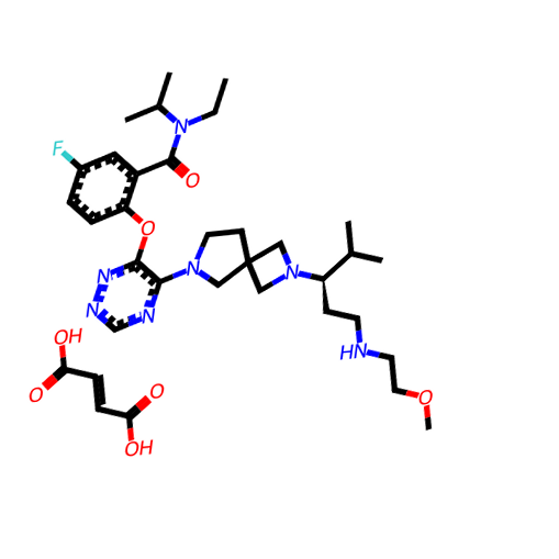 CCN(C(=O)c1cc(F)ccc1Oc1nncnc1N1CCC2(C1)CN([C@H](CCNCCOC)C(C)C)C2)C(C)C.O=C(O)/C=C/C(=O)O